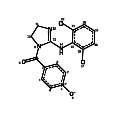 O=C(c1cc[n+]([O-])cc1)N1CCN=C1Nc1c(Cl)cccc1Cl